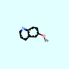 CC(C)Oc1ccc2ncccc2c1